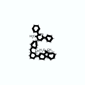 CC1C(C2=CCCC=C2)=NC(c2ccccc2)=C[C@H]1c1ccc(CC2CCCC(C3=CC4=C(CC3)c3ccccc3C4(C)C)[C@H]2C)cc1